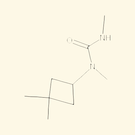 CNC(=O)N(C)C1CC(C)(C)C1